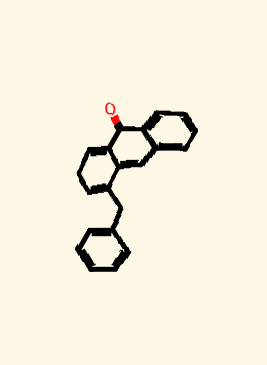 O=C1C2=CCC=C(Cc3ccccc3)C2=Cc2ccccc21